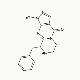 CC(C)n1ncc2c(=O)n3c(nc21)C(Cc1ccccc1)NCC3